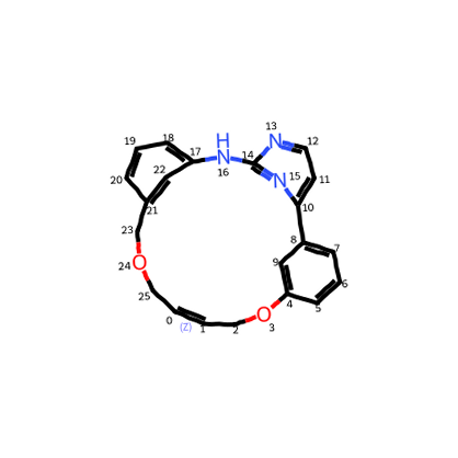 C1=C\COc2cccc(c2)-c2ccnc(n2)Nc2cccc(c2)COC/1